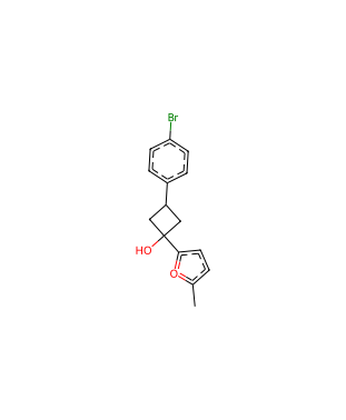 Cc1ccc(C2(O)CC(c3ccc(Br)cc3)C2)o1